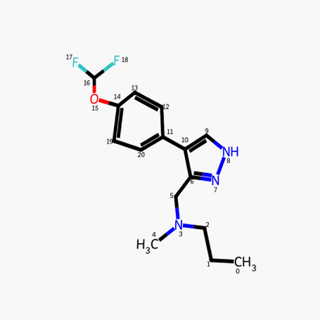 CCCN(C)Cc1n[nH]cc1-c1ccc(OC(F)F)cc1